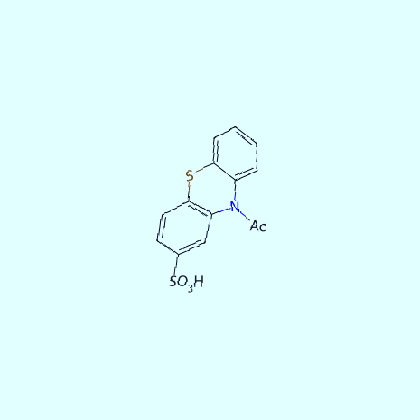 CC(=O)N1c2ccccc2Sc2ccc(S(=O)(=O)O)cc21